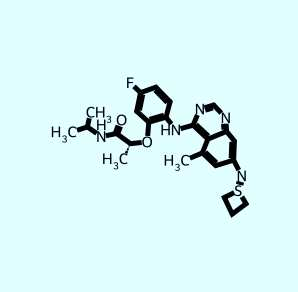 Cc1cc(N=S2CCC2)cc2ncnc(Nc3ccc(F)cc3O[C@H](C)C(=O)NC(C)C)c12